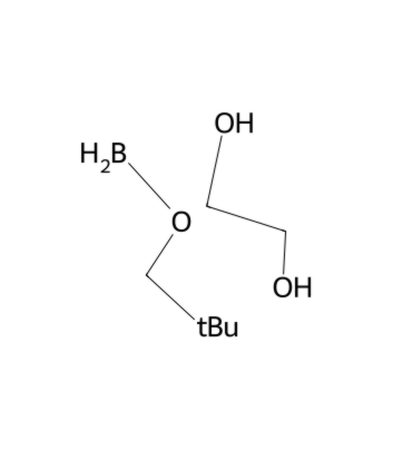 BOCC(C)(C)C.OCCO